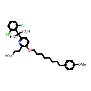 COc1ccc(CCCCCCCCOc2ccc(C(c3c(Cl)cccc3Cl)(S(=O)(=O)O)S(=O)(=O)O)nc2CCC(=O)O)cc1